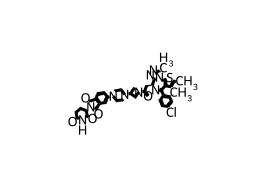 Cc1sc2c(c1C)C(c1ccc(Cl)cc1)=N[C@@H](CC(=O)N1CC(N3CCN(c4ccc5c(c4)C(=O)N(C4CCC(=O)NC4=O)C5=O)CC3)C1)c1nnc(C)n1-2